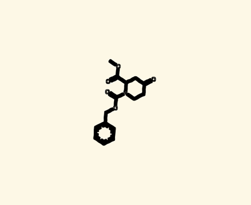 COC(=O)C1CC(=O)CCN1C(=O)OCc1ccccc1